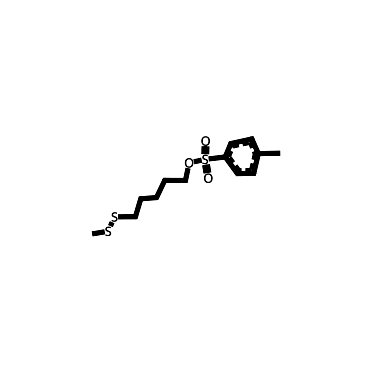 CSSCCCCCOS(=O)(=O)c1ccc(C)cc1